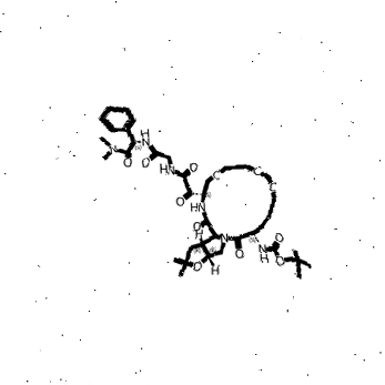 CN(C)C(=O)[C@@H](NC(=O)CNC(=O)C(=O)[C@@H]1CCCCCCCCCC[C@H](NC(=O)OC(C)(C)C)C(=O)N2C[C@@H]3OC(C)(C)C[C@@H]3C2C(=O)N1)c1ccccc1